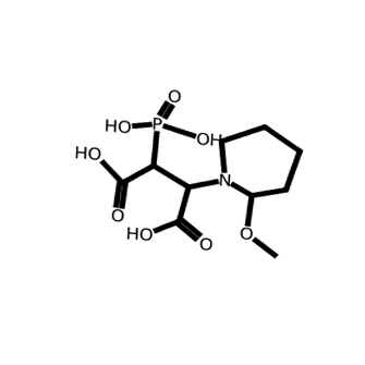 COC1CCCCN1C(C(=O)O)C(C(=O)O)P(=O)(O)O